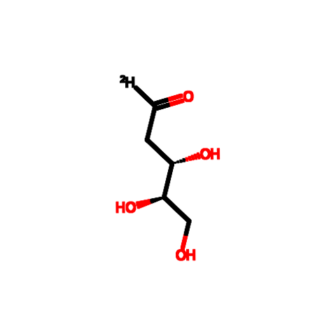 [2H]C(=O)C[C@H](O)[C@H](O)CO